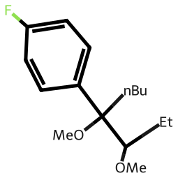 CCCCC(OC)(c1ccc(F)cc1)C(CC)OC